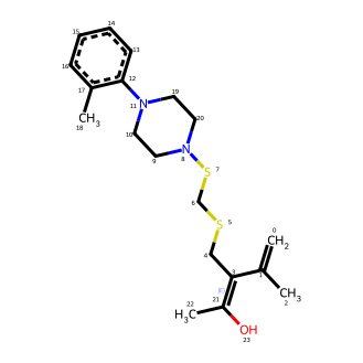 C=C(C)/C(CSCSN1CCN(c2ccccc2C)CC1)=C(/C)O